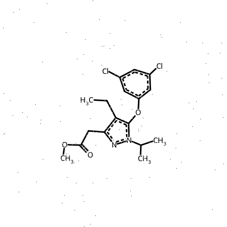 CCc1c(CC(=O)OC)nn(C(C)C)c1Oc1cc(Cl)cc(Cl)c1